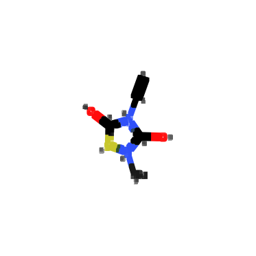 C#Cn1c(=O)sn(CCCC)c1=O